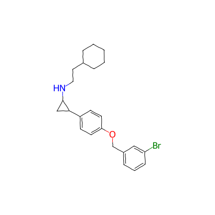 Brc1cccc(COc2ccc(C3CC3NCCC3CCCCC3)cc2)c1